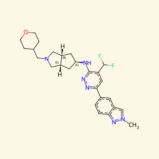 Cn1cc2cc(-c3cc(C(F)F)c(N[C@H]4C[C@@H]5CN(CC6CCOCC6)C[C@@H]5C4)nn3)ccc2n1